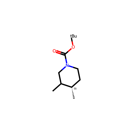 CC1CN(C(=O)OC(C)(C)C)CC[C@@H]1C